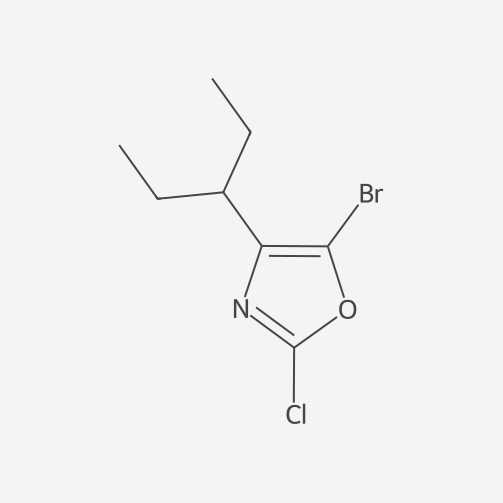 CCC(CC)c1nc(Cl)oc1Br